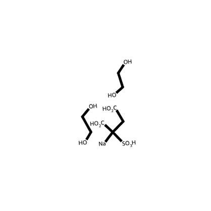 O=C(O)C[C]([Na])(C(=O)O)S(=O)(=O)O.OCCO.OCCO